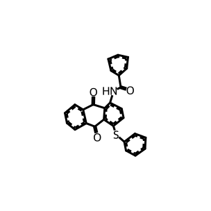 O=C(Nc1ccc(Sc2ccccc2)c2c1C(=O)c1ccccc1C2=O)c1ccccc1